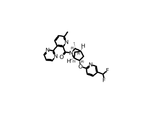 Cc1ccc(-c2ncccn2)c(C(=O)N2[C@H](C)[C@H]3C[C@@H](Oc4ccc(C(F)F)cn4)[C@@H]2C3)n1